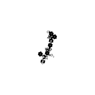 CC(C)(C)[Si](C)(C)O[C@@H](c1ccccc1-c1ccc(Cl)cc1)C1CCN(c2ccc(C(=O)NS(=O)(=O)c3ccc(N[C@H](CCN4CCOCC4)CSc4ccccc4)c([N+](=O)[O-])c3)cc2)CC1